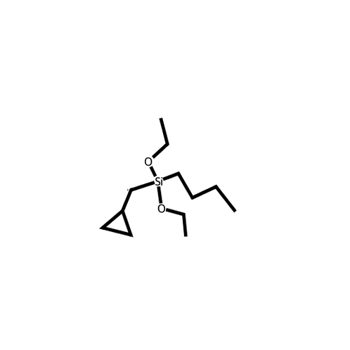 CCCC[Si]([CH]C1CC1)(OCC)OCC